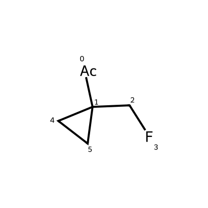 CC(=O)C1(CF)CC1